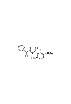 COc1ccc(O)c(/C(C)=N/NC(=O)c2ccccc2)c1